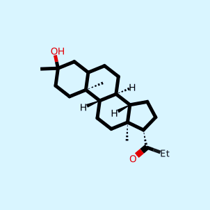 CCC(=O)[C@H]1CC[C@H]2[C@@H]3CCC4CC(C)(O)CC[C@]4(C)[C@H]3CC[C@]12C